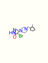 Cc1ccccc1CN1CCCN(c2cn[nH]c(=O)c2Br)CC1